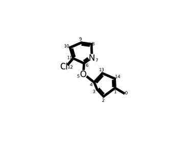 Cc1ccc(Oc2ncccc2Cl)cc1